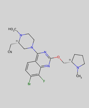 CN1CCC[C@H]1COc1nc(N2CCN(C(=O)O)[C@@H](CC#N)C2)c2ccc(Br)c(F)c2n1